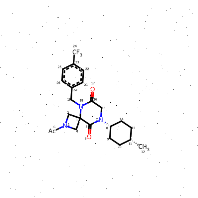 CC(=O)N1CC2(C1)C(=O)N([C@H]1CC[C@@H](C)CC1)CC(=O)N2Cc1ccc(C(F)(F)F)cc1